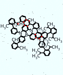 Cc1cccc(C)c1-c1cccc(N2c3cc(-c4c(C)cccc4C)ccc3B3c4ccc(-n5c6ccc(-c7c(C(C)C)cccc7C(C)C)cc6c6cc(-c7c(C(C)C)cccc7C(C)C)ccc65)cc4N(c4c(-c5ccccc5)cccc4-c4ccccc4)c4cc(-c5c(C)cccc5C)cc2c43)c1